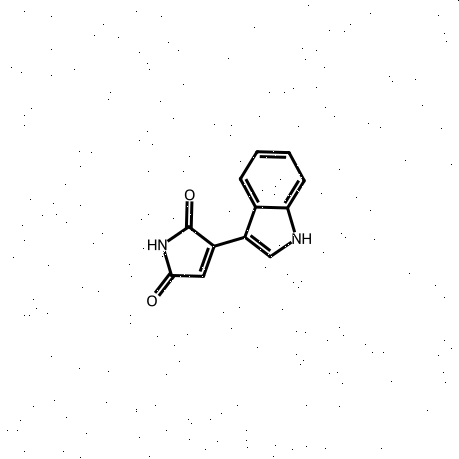 O=C1C=C(c2c[nH]c3ccccc23)C(=O)N1